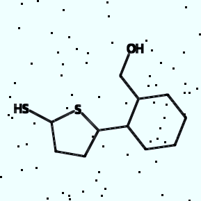 OCC1CCCCC1C1CCC(S)S1